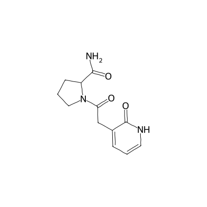 NC(=O)C1CCCN1C(=O)Cc1ccc[nH]c1=O